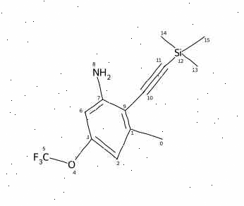 Cc1cc(OC(F)(F)F)cc(N)c1C#C[Si](C)(C)C